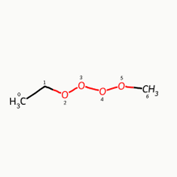 CCOOOOC